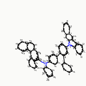 c1ccc(-c2cc(-n3c4ccccc4c4cc5ccccc5cc43)ccc2-c2ccc(N(c3ccccc3)c3cc4ccc5ccccc5c4c4ccccc34)cc2)cc1